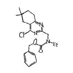 CCN(Cc1nc(Cl)c2c(n1)CCC(C)(C)C2)C(=O)OCc1ccccc1